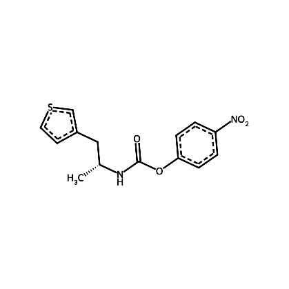 C[C@H](Cc1ccsc1)NC(=O)Oc1ccc([N+](=O)[O-])cc1